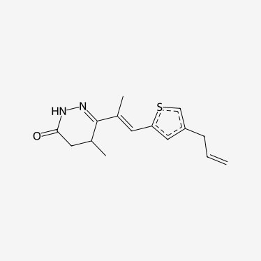 C=CCc1csc(C=C(C)C2=NNC(=O)CC2C)c1